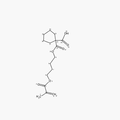 C=C(C)C(=O)OCCCCOC(=O)C1(C(=O)O)CCCCC1